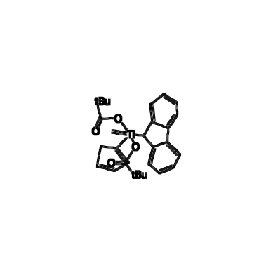 [CH2]=[Ti]([O]C(=O)C(C)(C)C)([O]C(=O)C(C)(C)C)([C]1=CC=CC1)[CH]1c2ccccc2-c2ccccc21